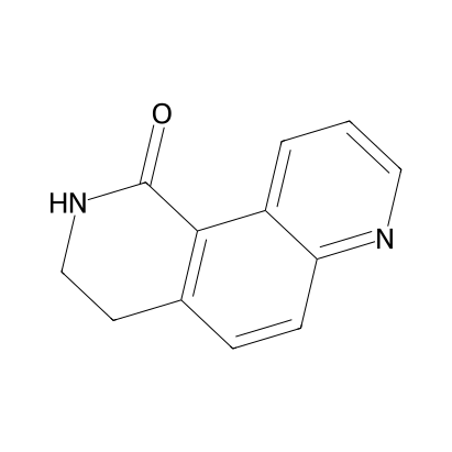 O=C1NCCc2ccc3ncccc3c21